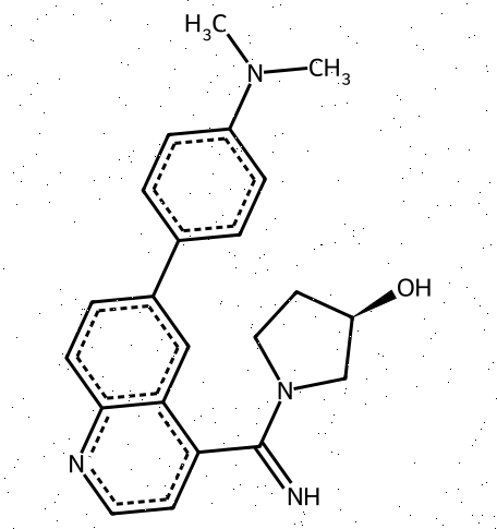 CN(C)c1ccc(-c2ccc3nccc(C(=N)N4CC[C@@H](O)C4)c3c2)cc1